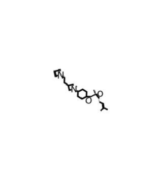 CC(C)=CC[C@H]1O[C@@]1(C)C1OC12CCC(N1CC(CCN3CCC3)C1)CC2